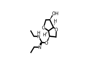 CC/N=C(\NCC)O[C@@H]1CO[C@H]2[C@@H]1OC[C@H]2O